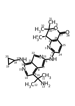 C[C@@H]1c2nc(Nc3cc4c(C(C)(C)N)cnc(NC5CC5)c4cn3)ccc2C(=O)OC1(C)C